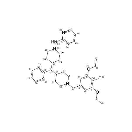 CCOc1cc(CN2CCC(N(c3ncccn3)C3CCN(Nc4ncccn4)CC3)CC2)cc(OCC)c1F